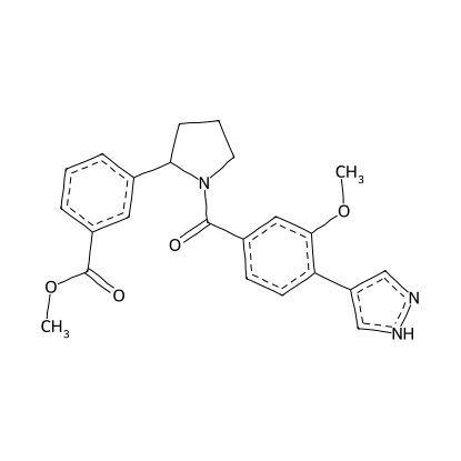 COC(=O)c1cccc(C2CCCN2C(=O)c2ccc(-c3cn[nH]c3)c(OC)c2)c1